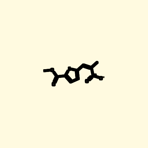 COC(=O)c1ccc(C=C(C)[N+](=O)[O-])s1